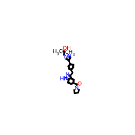 CC(C)(O)Cn1cc(-c2ccc(Cc3n[nH]c4ccc(C(=O)N5CCCC5)cc34)cc2)cn1